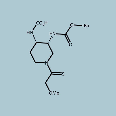 COCC(=S)N1CC[C@H](NC(=O)O)[C@H](NC(=O)OC(C)(C)C)C1